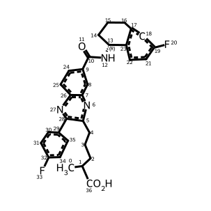 CC(CCCc1nc2cc(C(=O)N[C@@H]3CCCc4cc(F)ccc43)ccc2nc1-c1ccc(F)cc1)C(=O)O